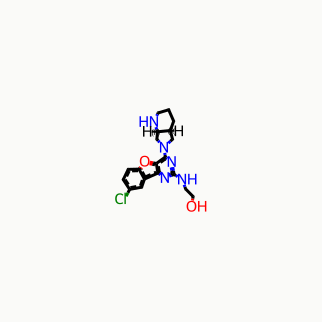 OCCNc1nc(N2C[C@H]3CCCN[C@H]3C2)c2oc3ccc(Cl)cc3c2n1